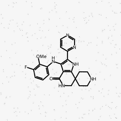 COc1c(F)cccc1Nc1c(-c2ccncn2)[nH]c2c1C(=O)NCC21CCNCC1